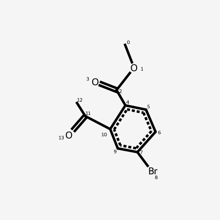 COC(=O)c1ccc(Br)cc1C(C)=O